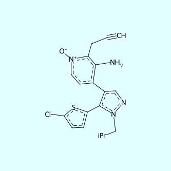 C#CCc1c(N)c(-c2cnn(CC(C)C)c2-c2ccc(Cl)s2)cc[n+]1[O-]